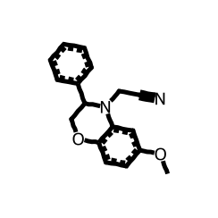 COc1ccc2c(c1)N(CC#N)C(c1ccccc1)CO2